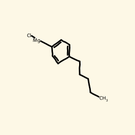 CCCCCc1cc[c]([Mg][Cl])cc1